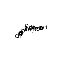 NC(COc1ccc(Cl)cc1)CN1CCC(N2CC(COc3ccc(Cl)c(F)c3)OC2=O)CC1